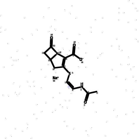 CC(=O)N/C=C\SC1=C(C(=O)[O-])N2C(=O)CC2C1.[Na+]